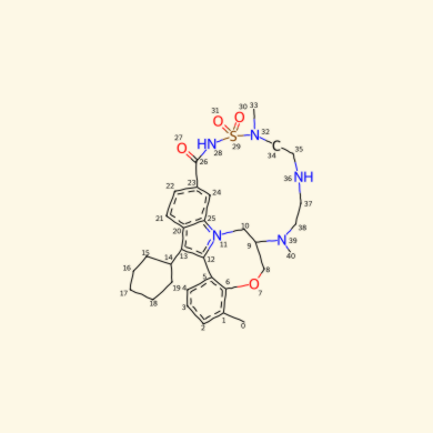 Cc1cccc2c1OCC1Cn3c-2c(C2CCCCC2)c2ccc(cc23)C(=O)NS(=O)(=O)N(C)CCNCCN1C